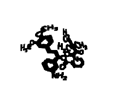 CCC(C)(C)C(=O)C(=O)N1CCCC[C@H]1C(=O)OC(CCc1ccc(OC)c(OC)c1)c1cccc(N)c1